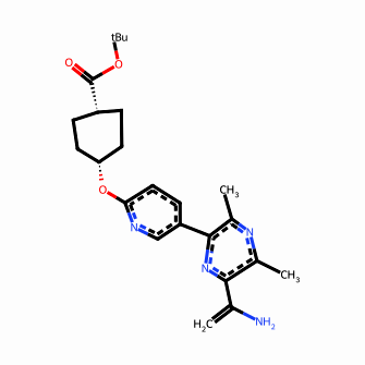 C=C(N)c1nc(-c2ccc(O[C@H]3CC[C@@H](C(=O)OC(C)(C)C)CC3)nc2)c(C)nc1C